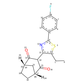 CCc1sc(-c2ccc(F)cc2)nc1C1C(=O)[C@@H]2CC[C@@H](C2)C1=O